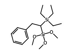 CC[Si](CC)(CC)C(Cc1ccccc1)[Si](OC)(OC)OC